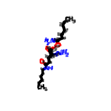 CCCCCCNC(=O)CC[C@H](N)C(=O)OC(N)CCCCC